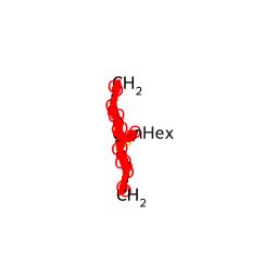 C=CC(=O)OCCCCCCOc1ccc(OC(=O)C2CCC(C(=O)Oc3ccc4c(c3)cc(Sc3ccc(OCCCCCC)cc3)c3cc(OC(=O)C5CCC(C(=O)Oc6ccc(OCCCCCCOC(=O)C=C)cc6)CC5)ccc34)CC2)cc1